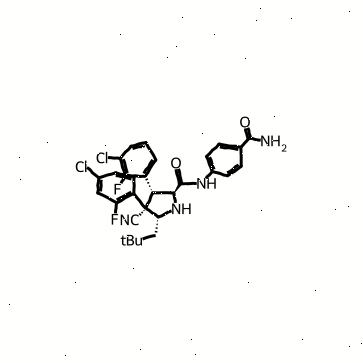 CC(C)(C)C[C@H]1N[C@H](C(=O)Nc2ccc(C(N)=O)cc2)[C@@H](c2cccc(Cl)c2F)[C@]1(C#N)c1ccc(Cl)cc1F